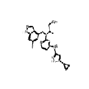 CC(CO)N(Cc1cc(F)cc2[nH]ncc12)c1nccc(Nc2cc(C3CC3)[nH]n2)n1